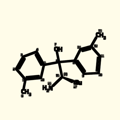 Cc1cccc(C(O)(c2cccc(C)c2)[C@H](N)C(C)(C)C)c1